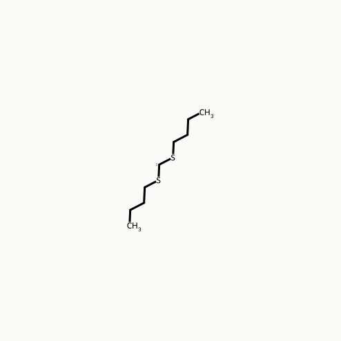 CCCCS[C]SCCCC